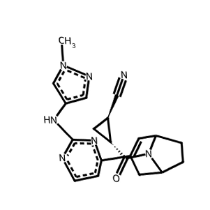 Cn1cc(Nc2nccc(C3=CC4CCC(C3)N4C(=O)[C@@H]3C[C@H]3C#N)n2)cn1